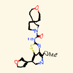 COc1ncc(C2=CCOC2)c2sc(NC(=O)N3CCC4(CCOCC4)C3)nc12